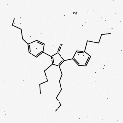 CCCCCCC1=C(c2cccc(CCCC)c2)[N+](=[N-])C(c2ccc(CCCC)cc2)=C1CCCC.[Pd]